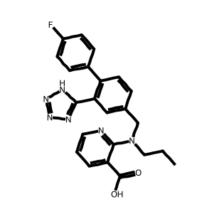 CCCN(Cc1ccc(-c2ccc(F)cc2)c(-c2nnn[nH]2)c1)c1ncccc1C(=O)O